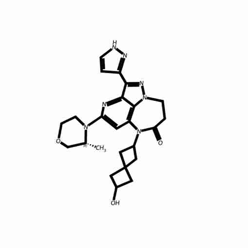 C[C@@H]1COCCN1c1cc2c3c(n1)c(-c1cc[nH]n1)nn3CCC(=O)N2C1CC2(CC(O)C2)C1